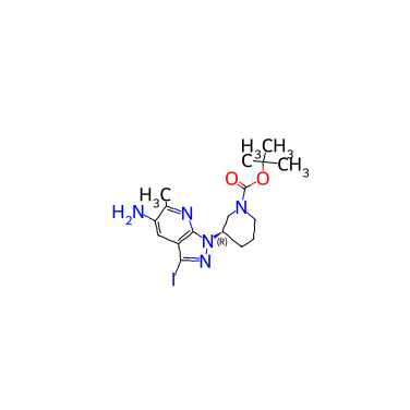 Cc1nc2c(cc1N)c(I)nn2[C@@H]1CCCN(C(=O)OC(C)(C)C)C1